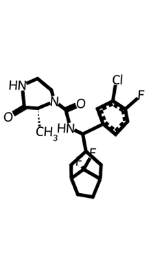 C[C@@H]1C(=O)NCCN1C(=O)NC(c1ccc(F)c(Cl)c1)C1CC2CCC(C1)C2(F)F